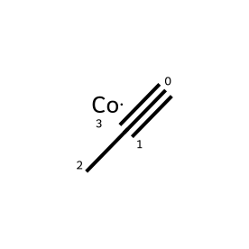 C#CC.[Co]